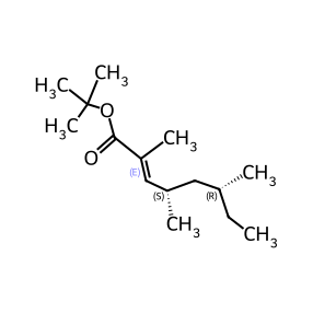 CC[C@@H](C)C[C@H](C)/C=C(\C)C(=O)OC(C)(C)C